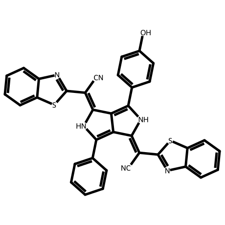 N#C/C(c1nc2ccccc2s1)=c1/[nH]c(-c2ccc(O)cc2)c2/c(=C(\C#N)c3nc4ccccc4s3)[nH]c(-c3ccccc3)c12